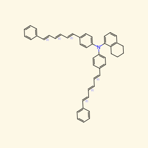 C(=C\C=C\c1ccc(N(c2ccc(/C=C/C=C/C=C/c3ccccc3)cc2)c2cccc3c2CCCC3)cc1)/C=C/c1ccccc1